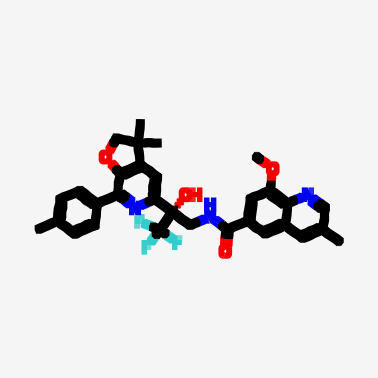 COc1cc(C(=O)NC[C@](O)(c2cc3c(c(-c4ccc(C)cc4)n2)OCC3(C)C)C(F)(F)F)cc2cc(C)cnc12